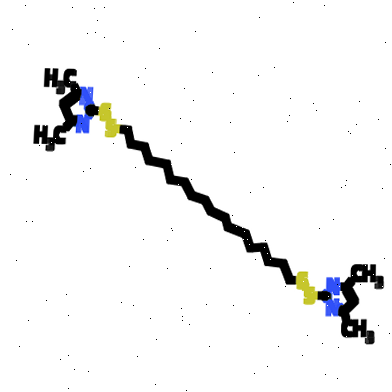 Cc1cc(C)nc(SSCCCCCCCCCCCCCCCCCCSSc2nc(C)cc(C)n2)n1